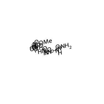 C=CCOC(=O)N1c2cc(OCCCC(=O)Nc3cc(C(=O)Nc4ccc(-c5cc(C(=O)NCCN)n(C)c5)cc4)n(C)c3)c(OC)cc2C(=O)N2CCCC[C@H]2C1OC1CCCCO1